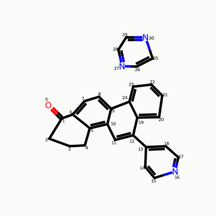 O=C1CCCc2c1ccc1c2cc(-c2ccncc2)c2ccccc21.c1cnccn1